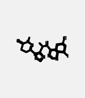 CC(Nc1ncnc2c(I)cc(Cl)cc12)c1ncnn1C1=NN(C)C(=O)CC1